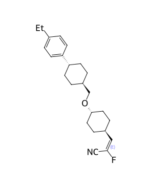 CCc1ccc([C@H]2CC[C@H](CO[C@H]3CC[C@H](/C=C(/F)C#N)CC3)CC2)cc1